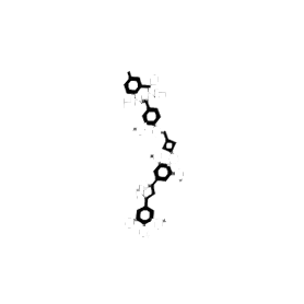 COc1cc(C2NC(=O)c3cc(C)ccc3N2)ccc1OCC1CC(Oc2c(OC)cc(C3CC(c4cc(OC)c(OC)c(OC)c4)=NO3)cc2OC)C1